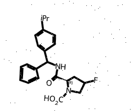 CC(C)c1ccc(C(NC(=O)[C@H]2CC(F)CN2C(=O)O)c2ccccc2)cc1